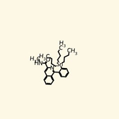 CCC[CH2][Sn]([CH2]CCC)([CH2]CCC)[c]1ccccc1-c1nc(C(=O)NC)cc2ccccc12